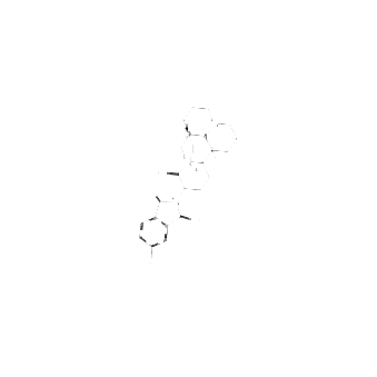 O=C1c2ccc(F)cc2C(=O)N1C1CC[C@@H]2[C@H]3CCCN4CCC[C@@H](CN2C1=O)[C@@H]34